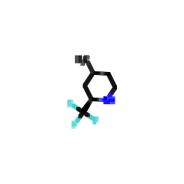 CC1CCN[C@@H](C(F)(F)F)C1